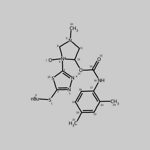 CCCCSc1nnc([N+]2([O-])CN(C)CC2OC(=O)Nc2ccc(C)cc2C)s1